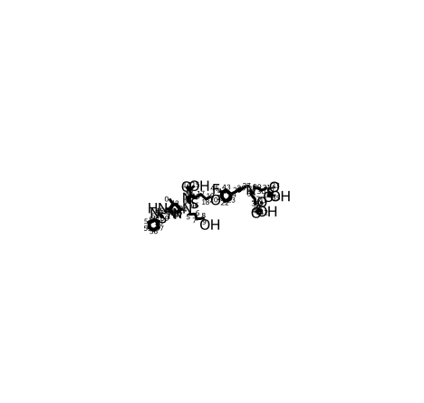 Cc1cc(N(CCCCO)c2nc(C(=O)O)c(CCCOc3ccc(C#CCN(CCCS(=O)(=O)O)CCCS(=O)(=O)O)cc3F)s2)nnc1Nc1nc2ccccc2s1